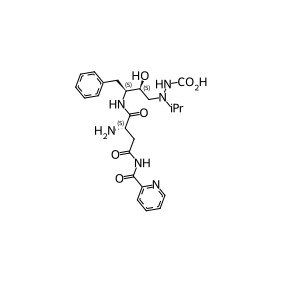 CC(C)N(C[C@H](O)[C@H](Cc1ccccc1)NC(=O)[C@@H](N)CC(=O)NC(=O)c1ccccn1)NC(=O)O